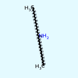 CCCCCCCCCCCCCCCCCCCC(N)CCCCCCCCCCCCCCCCCCC